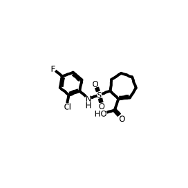 O=C(O)C1=CCCCCC1S(=O)(=O)Nc1ccc(F)cc1Cl